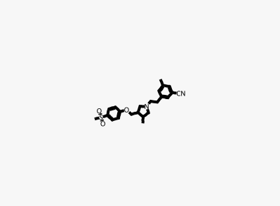 Cc1cc(C#N)cc(CCN2CC(C)C(COc3ccc(S(C)(=O)=O)cc3)C2)c1